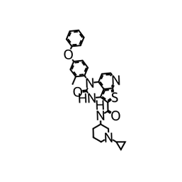 Cc1cc(Oc2ccccc2)ccc1N1C(=O)Nc2c(C(=O)NC3CCCN(C4CC4)C3)sc3nccc1c23